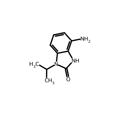 CC(C)n1c(=O)[nH]c2c(N)cccc21